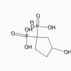 O=P(O)(O)C1(P(=O)(O)O)CCC(O)C1